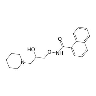 O=C(NOCC(O)CN1CCCCC1)c1cccc2ccccc12